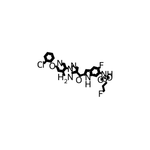 Cc1cc(Oc2ccccc2Cl)ncc1-n1ncc(C(=O)c2cc3cc(F)c(NS(=O)(=O)CCCF)cc3[nH]2)c1N